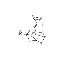 CC(=CC12CC3CC(CC(C#N)(C3)C1)C2)C(=O)O